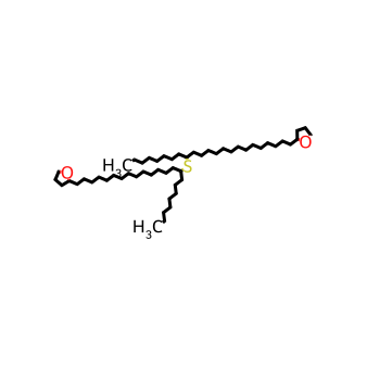 CCCCCCCCC(CCCCCCCCCCCCCCC1CCCO1)SC(CCCCCCCC)CCCCCCCCCCCCCCC1CCCO1